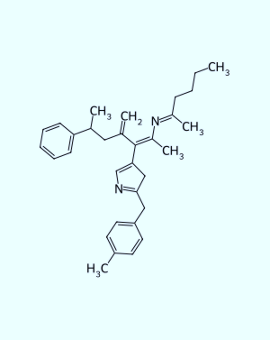 C=C(CC(C)c1ccccc1)/C(C1=CN=C(Cc2ccc(C)cc2)C1)=C(C)\N=C(/C)CCCC